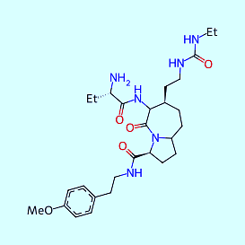 CCNC(=O)NCC[C@H]1CCC2CC[C@@H](C(=O)NCCc3ccc(OC)cc3)N2C(=O)C1NC(=O)[C@@H](N)CC